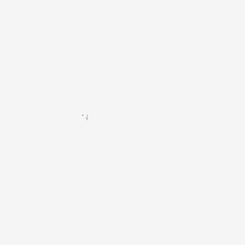 OC1(c2cccc(Cl)c2Cl)CCCC1CN1CCCCCC1